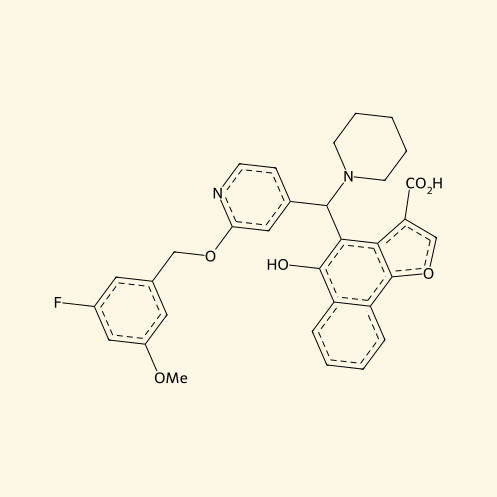 COc1cc(F)cc(COc2cc(C(c3c(O)c4ccccc4c4occ(C(=O)O)c34)N3CCCCC3)ccn2)c1